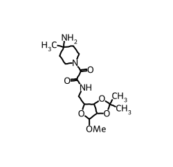 COC1OC(CNC(=O)C(=O)N2CCC(C)(N)CC2)C2OC(C)(C)OC12